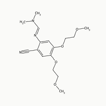 COCCOc1cc(C#N)c(/N=C/N(C)C)cc1OCCOC